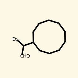 CCC(C=O)C1CCCCCCCCC1